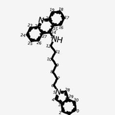 c1ccc2cn(CCCCCCCNc3c4ccccc4nc4ccccc34)cc2c1